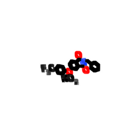 O=C1c2ccc(Oc3ccc(C(F)(F)F)cc3[N+](=O)[O-])cc2C(=O)N1Cc1ccccc1